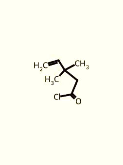 C=CC(C)(C)CC(=O)Cl